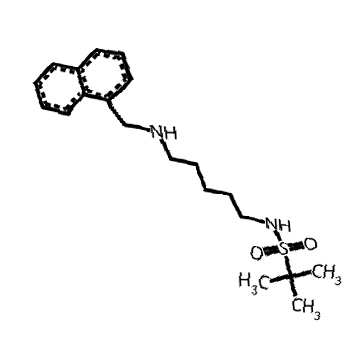 CC(C)(C)S(=O)(=O)NCCCCCNCc1cccc2ccccc12